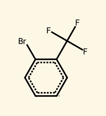 FC(F)(F)c1c[c]ccc1Br